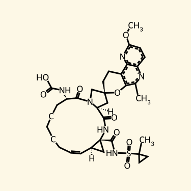 COc1ccc2nc(C)c3c(c2n1)CC[C@]1(C[C@H]2C(=O)N[C@]4(C(=O)NS(=O)(=O)C5(C)CC5)C[C@H]4/C=C\CCCCC[C@H](NC(=O)O)C(=O)N2C1)O3